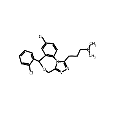 CN(C)CCCc1nnc2n1-c1ccc(Cl)cc1C(c1ccccc1Cl)OC2